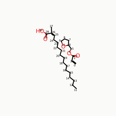 C=CC(=O)OCC1CCCO1.CCCCCCCCCCCCCCC=C(C)C(=O)O